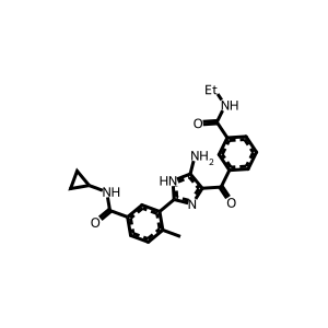 CCNC(=O)c1cccc(C(=O)c2nc(-c3cc(C(=O)NC4CC4)ccc3C)[nH]c2N)c1